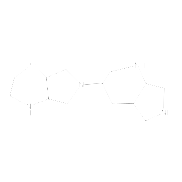 C1COC2CN(C3CNC4CNCC4C3)CC2N1